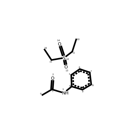 CC(=O)Nc1ccccc1.CCS(=O)(=O)CC